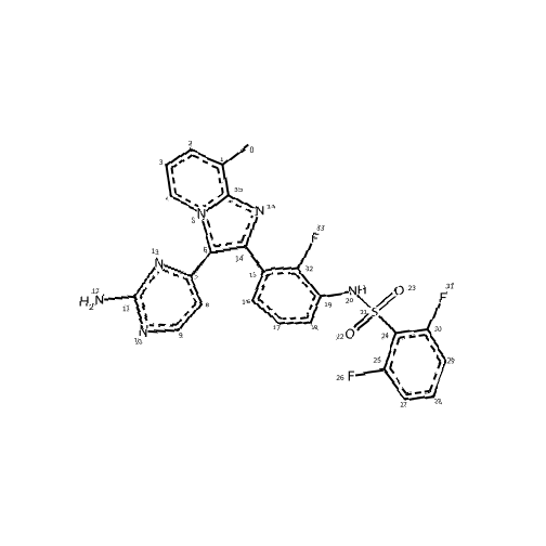 Cc1cccn2c(-c3ccnc(N)n3)c(-c3cccc(NS(=O)(=O)c4c(F)cccc4F)c3F)nc12